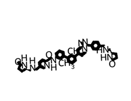 Cc1c(NC(=O)c2ccc(CNC[C@H]3CCC(=O)N3)cn2)cccc1-c1cccc(-c2ccn3c(-c4ccc(CNC[C@H]5CCC(=O)N5)cc4)nnc3c2)c1C